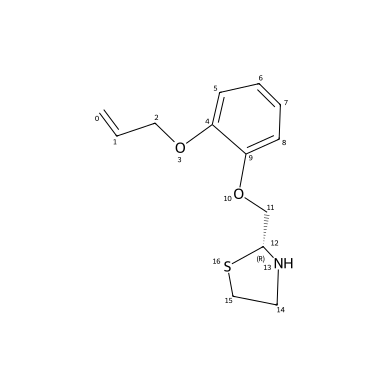 C=CCOc1ccccc1OC[C@@H]1NCCS1